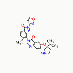 Cc1ccc(C(=O)Nc2ccon2)cc1-n1cnc2ccc(O[C@]3(C(C)C)CCNC3)cc2c1=O